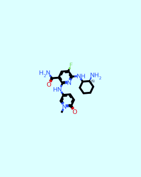 Cn1cc(Nc2nc(NC3CCCC[C@@H]3N)c(F)cc2C(N)=O)ccc1=O